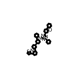 c1ccc(-c2nc(-c3ccc4c(c3)oc3ccccc34)nc(-n3c4ccccc4c4cc(-c5ccc6c(c5)c5cccc7c8ccsc8n6c57)ccc43)n2)cc1